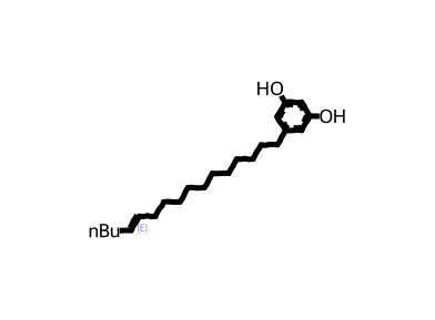 CCCC/C=C/CCCCCCCCCCCc1cc(O)cc(O)c1